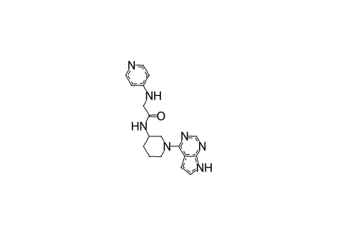 O=C(CNc1ccncc1)NC1CCCN(c2ncnc3[nH]ccc23)C1